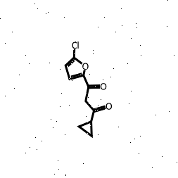 O=C(CC(=O)C1CC1)c1ccc(Cl)o1